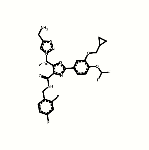 C[C@@H](c1oc(-c2ccc(OC(F)F)c(OCC3CC3)c2)nc1C(=O)NCc1ccc(F)cc1F)n1cc(CN)nn1